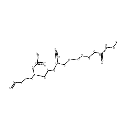 C=CCCCC(CCCN(C#N)CCCCCCC(=O)OCC)OC(C)=O